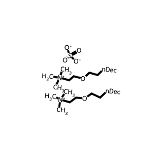 CCCCCCCCCCCCOCC[N+](C)(C)C.CCCCCCCCCCCCOCC[N+](C)(C)C.O=S(=O)([O-])[O-]